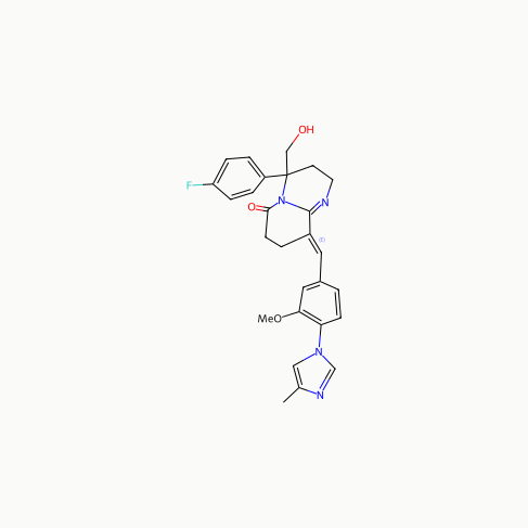 COc1cc(/C=C2\CCC(=O)N3C2=NCCC3(CO)c2ccc(F)cc2)ccc1-n1cnc(C)c1